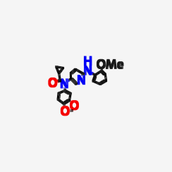 COc1ccccc1Nc1ccc(N(C(=O)C2CC2)c2ccc3c(c2)OCO3)cn1